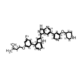 CN(C)CCOc1cc(F)cc(-c2cncc3[nH]c(-c4n[nH]c5ncc(-c6cncc(OC7CCNCC7)c6)cc45)cc23)c1